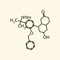 CCCCCCC(C)(C)c1ccc(C2CC(O)CC3CCC(=O)CC32)c(OCc2ccccc2)c1